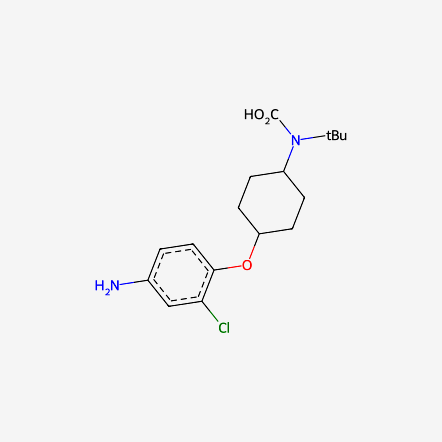 CC(C)(C)N(C(=O)O)C1CCC(Oc2ccc(N)cc2Cl)CC1